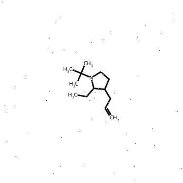 C=CCC1CCN(C(C)(C)C)C1CC